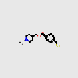 CN1CCC(COC(=O)c2ccc(CS)cc2)CC1